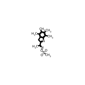 CC(=NOS(C)(=O)=O)C1=Nc2c(C)c(C)c(C)c(C)c2C1